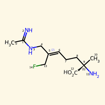 CC(=N)NC/C(=C/CC[C@](C)(N)C(=O)O)CF